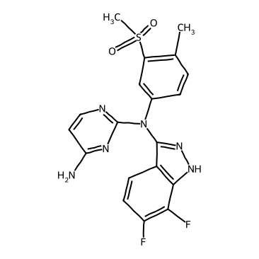 Cc1ccc(N(c2nccc(N)n2)c2n[nH]c3c(F)c(F)ccc23)cc1S(C)(=O)=O